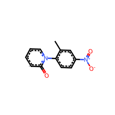 Cc1cc([N+](=O)[O-])ccc1-n1ccc[c]c1=O